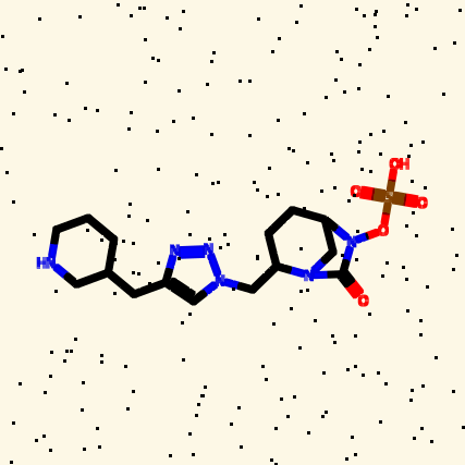 O=C1N2CC(CCC2Cn2cc(CC3CCCNC3)nn2)N1OS(=O)(=O)O